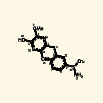 COc1nc(Sc2cccc([S+](N)[O-])c2)c(OC)nc1O